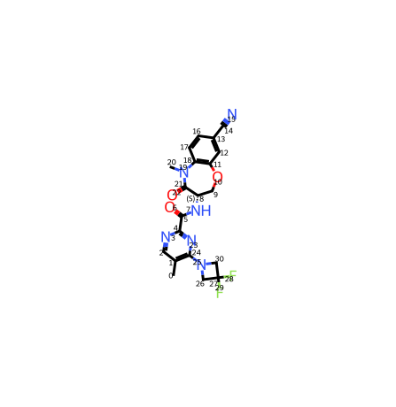 Cc1cnc(C(=O)N[C@H]2COc3cc(C#N)ccc3N(C)C2=O)nc1N1CC(F)(F)C1